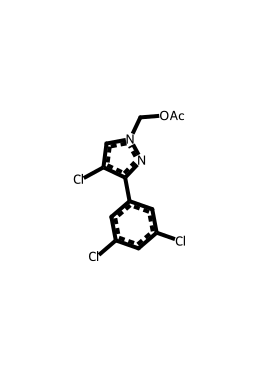 CC(=O)OCn1cc(Cl)c(-c2cc(Cl)cc(Cl)c2)n1